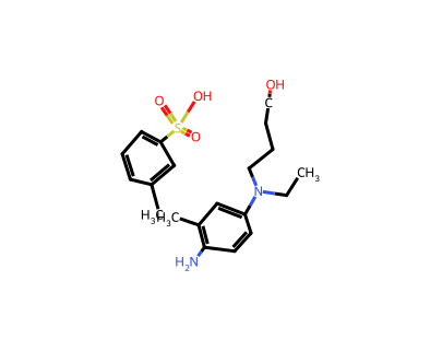 CCN(CCCCO)c1ccc(N)c(C)c1.Cc1cccc(S(=O)(=O)O)c1